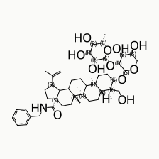 C=C(C)[C@@H]1CC[C@]2(C(=O)NCc3ccccc3)CC[C@]3(C)C(CCC4[C@@]5(C)CC[C@H](O[C@@H]6OC[C@H](O)[C@H](O)[C@H]6O[C@@H]6O[C@@H](C)[C@H](O)[C@@H](O)[C@H]6O)[C@@](C)(CO)[C@@H]5CC[C@]43C)C12